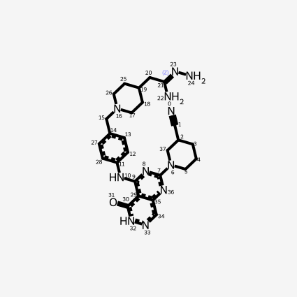 N#CC1CCCN(c2nc(Nc3ccc(CN4CCC(C/C(N)=N/N)CC4)cc3)c3c(=O)[nH]ncc3n2)C1